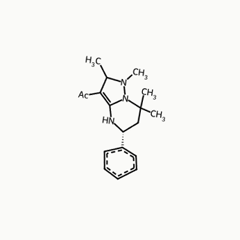 CC(=O)C1=C2N[C@@H](c3ccccc3)CC(C)(C)N2N(C)C1C